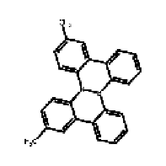 Cc1ccc2c(c1)-c1ccccc1B1c3ccccc3-c3cc(C)ccc3N12